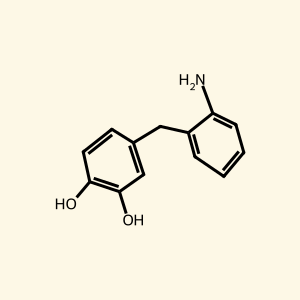 Nc1ccccc1Cc1ccc(O)c(O)c1